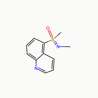 CN=S(C)(=O)c1cccc2ncccc12